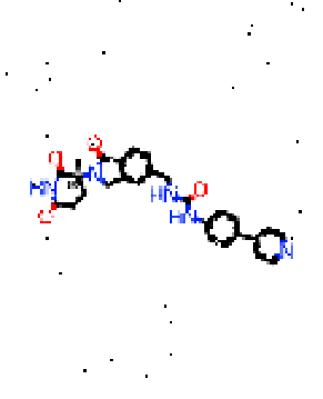 C[C@@]1(N2Cc3cc(CNC(=O)Nc4ccc(-c5ccncc5)cc4)ccc3C2=O)CCC(=O)NC1=O